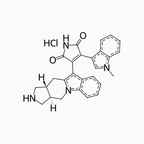 Cl.Cn1cc(C2=C(c3c4n(c5ccccc35)C[C@H]3CNC[C@@H]3C4)C(=O)NC2=O)c2ccccc21